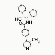 Cc1cnccc1-c1ccc(C(=O)N[C@H](c2ccccc2)[C@H](O)c2ccccc2)cc1